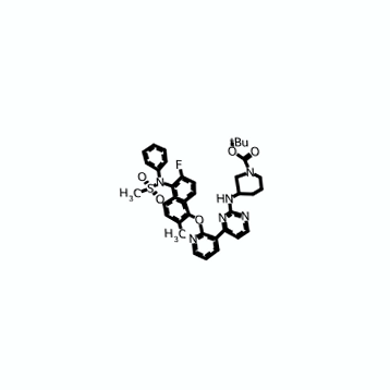 Cc1ccc2c(N(c3ccccc3)S(C)(=O)=O)c(F)ccc2c1Oc1ncccc1-c1ccnc(NC2CCCN(C(=O)OC(C)(C)C)C2)n1